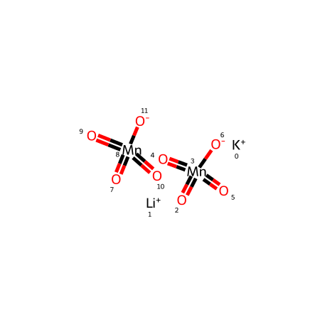 [K+].[Li+].[O]=[Mn](=[O])(=[O])[O-].[O]=[Mn](=[O])(=[O])[O-]